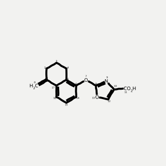 C=C1CCCc2c(Oc3nc(C(=O)O)co3)cccc21